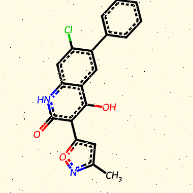 Cc1cc(-c2c(O)c3cc(-c4cc[c]cc4)c(Cl)cc3[nH]c2=O)on1